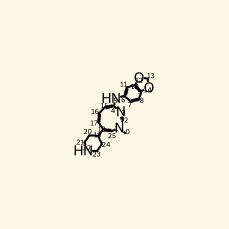 Cn1cnc(Nc2ccc3c(c2)OCO3)cccc(C2CCNCC2)c1